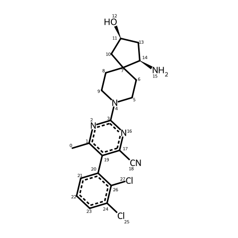 Cc1nc(N2CCC3(CC2)C[C@@H](O)C[C@H]3N)nc(C#N)c1-c1cccc(Cl)c1Cl